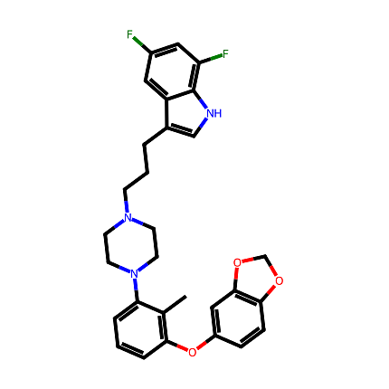 Cc1c(Oc2ccc3c(c2)OCO3)cccc1N1CCN(CCCc2c[nH]c3c(F)cc(F)cc23)CC1